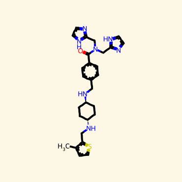 Cc1ccsc1CN[C@H]1CC[C@H](NCc2ccc(C(=O)N(Cc3ncc[nH]3)Cc3ncc[nH]3)cc2)CC1